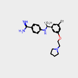 CCc1cc(OCCN2CCCC2)cc(C(Nc2ccc(C(=N)N)cc2)C(=O)O)c1